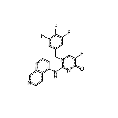 O=c1nc(Nc2cccc3cnccc23)n(Cc2cc(F)c(F)c(F)c2)cc1F